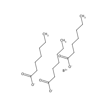 CCCCCCC(=O)[O-].CCCCCCC(=O)[O-].CCCCCCC(=O)[O-].[B+3]